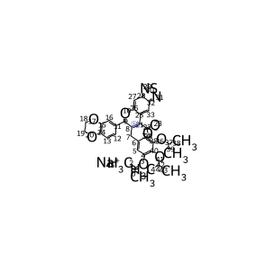 CC(C)Oc1cc(C/C(C(=O)c2ccc3c(c2)OCCO3)=C(\C(=O)[O-])c2ccc3nsnc3c2)cc(OC(C)C)c1OC(C)C.[Na+]